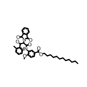 CCCCCCCCCCCCOC(=O)c1ccc(OC)c(NC(=O)C(C(=O)c2ccccc2C)N2C(=O)c3ccccc3C2=O)c1